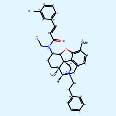 COc1ccc2c3c1OC1C(N(CC(C)C)C(=O)/C=C/c4cccc(C)c4)CC[C@@]4(OC(C)=O)[C@@H](C2)N(CCc2ccccc2)CC[C@]314